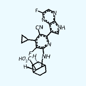 N#Cc1c(-c2c[nH]c3ncc(F)nc23)nc(N[C@H]2C3CCC(CC3)[C@@H]2C(=O)O)c(F)c1C1CC1